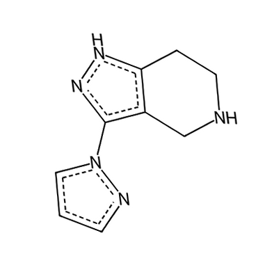 c1cnn(-c2n[nH]c3c2CNCC3)c1